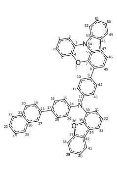 c1ccc2c(c1)Oc1c(-c3ccc(N(c4ccc(-c5ccc6ccccc6c5)cc4)c4cccc5c4oc4ccccc45)cc3)ccc3c4ccccc4n-2c13